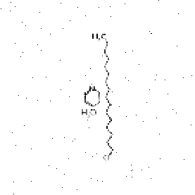 CCCCCCCCCCCCCCCCCl.O.c1ccncc1